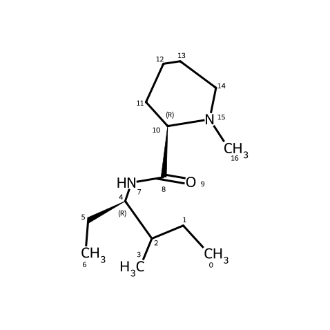 CCC(C)[C@@H](CC)NC(=O)[C@H]1CCCCN1C